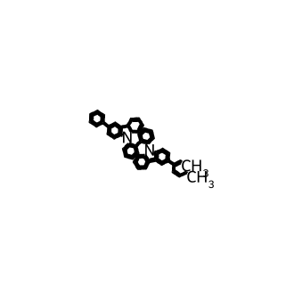 C/C=C(\C=C/CC)c1ccc2c(c1)c1ccccc1n2-c1ccccc1-c1ccccc1N1c2ccc(-c3ccccc3)cc2C2C=CC=CC21